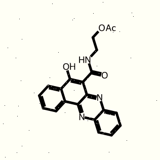 CC(=O)OCCNC(=O)c1c(O)c2ccccc2c2nc3ccccc3nc12